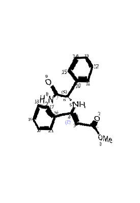 COC(=O)/C=C(\N[C@H](C(N)=O)c1ccccc1)c1ccccc1